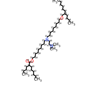 CCCCCCC(CCCC)COCCCCCCCCCN(CCCCCCCCCOC(=O)C(CCCC)CCCCCC)CCN(C)C